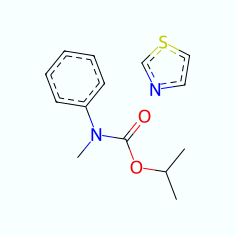 CC(C)OC(=O)N(C)c1ccccc1.c1cscn1